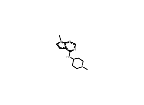 CN1CCC(Nc2ncnc3c2ccn3C)CC1